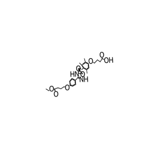 CCOC(=O)CCCOc1ccc(C(=N)NS(=O)(=O)c2c(C)cc(OCCCC(=O)O)c(C)c2C)cc1